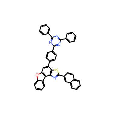 c1ccc(-c2nc(-c3ccccc3)nc(-c3ccc(-c4cc5oc6ccccc6c5c5nc(-c6ccc7ccccc7c6)sc45)cc3)n2)cc1